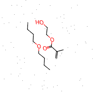 C=C(C)C(=O)OCCO.CCCCOCCCC